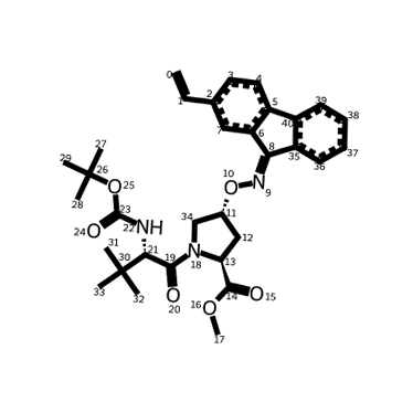 C=Cc1ccc2c(c1)/C(=N\O[C@@H]1C[C@@H](C(=O)OC)N(C(=O)[C@@H](NC(=O)OC(C)(C)C)C(C)(C)C)C1)c1ccccc1-2